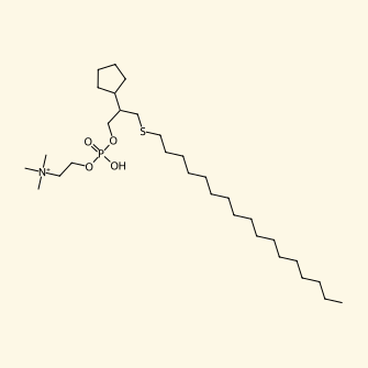 CCCCCCCCCCCCCCCCCSCC(COP(=O)(O)OCC[N+](C)(C)C)C1CCCC1